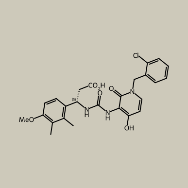 COc1ccc([C@H](CC(=O)O)NC(=O)Nc2c(O)ccn(Cc3ccccc3Cl)c2=O)c(C)c1C